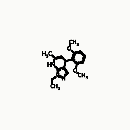 CCn1ncc2c1NC(C)=CC2c1c(OC)cccc1OC